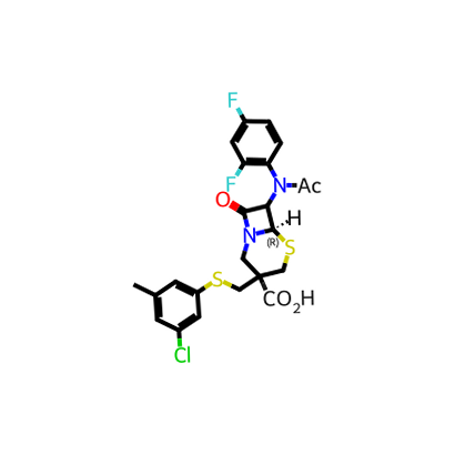 CC(=O)N(c1ccc(F)cc1F)C1C(=O)N2CC(CSc3cc(C)cc(Cl)c3)(C(=O)O)CS[C@H]12